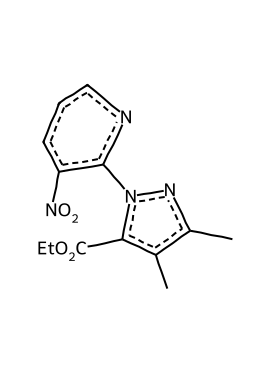 CCOC(=O)c1c(C)c(C)nn1-c1ncccc1[N+](=O)[O-]